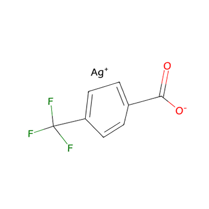 O=C([O-])c1ccc(C(F)(F)F)cc1.[Ag+]